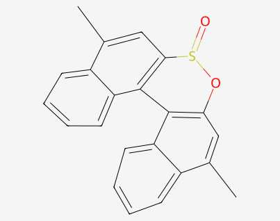 Cc1cc2c(c3ccccc13)-c1c(cc(C)c3ccccc13)S(=O)O2